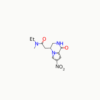 CCN(C)C(=O)CC1CNC(=O)c2cc([N+](=O)[O-])cn21